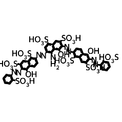 Nc1c(N=Nc2ccc3c(O)c(N=Nc4ccccc4S(=O)(=O)O)c(S(=O)(=O)O)cc3c2S(=O)(=O)O)cc(S(=O)(=O)O)c2cc(S(=O)(=O)O)c(N=Nc3ccc4c(O)c(N=Nc5ccccc5S(=O)(=O)O)c(S(=O)(=O)O)cc4c3S(=O)(=O)O)c(O)c12